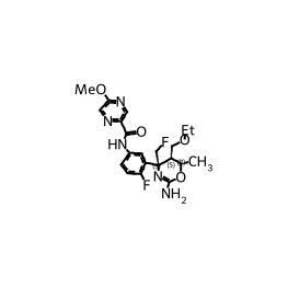 CCOC[C@H]1[C@@H](C)OC(N)=N[C@]1(CF)c1cc(NC(=O)c2cnc(OC)cn2)ccc1F